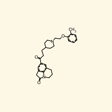 Cc1ccccc1OCCN1CCC(CCC(=O)c2cc3c4c(c2)CC(=O)N4CCC3)CC1